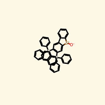 [O-][s+]1c2ccccc2c2cc([Si](c3ccccc3)(c3ccccc3)c3ccccc3)c([Si](c3ccccc3)(c3ccccc3)c3ccccc3)cc21